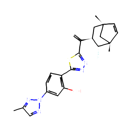 C=C(c1nnc(-c2ccc(-n3ncc(C)n3)cc2O)s1)[C@H]1C[C@]2(C)C=C[C@@](C)(C2)[C@@H]1F